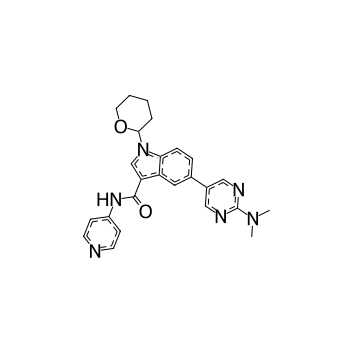 CN(C)c1ncc(-c2ccc3c(c2)c(C(=O)Nc2ccncc2)cn3C2CCCCO2)cn1